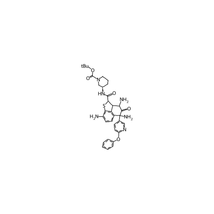 CC(C)(C)OC(=O)N1CCC[C@@H](NC(=O)C2Sc3c(N)ccc4c3C2C(N)C(=O)C4(N)c2ccc(Oc3ccccc3)nc2)C1